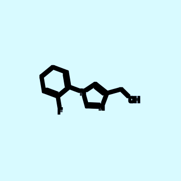 OCc1cn(C2=CCCC=C2F)cn1